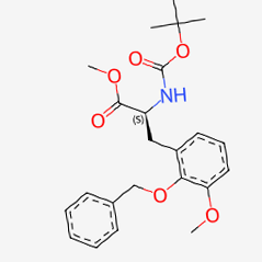 COC(=O)[C@H](Cc1cccc(OC)c1OCc1ccccc1)NC(=O)OC(C)(C)C